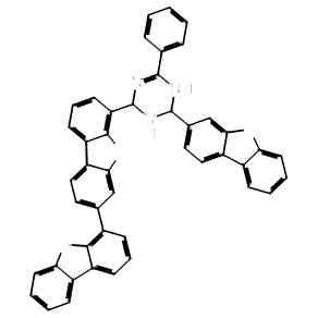 c1ccc(C2=NC(c3cccc4c3oc3cc(-c5cccc6c5oc5ccccc56)ccc34)NC(c3ccc4c(c3)sc3ccccc34)N2)cc1